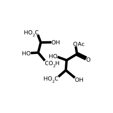 CC(=O)OC(=O)C(O)C(O)C(=O)O.O=C(O)C(O)C(O)C(=O)O